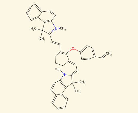 C=Cc1ccc(OC2=C(/C=C/C3=[N+](C)c4ccc5ccccc5c4C3(C)C)CCC/C2=C\C=C2/N(C)c3ccc4ccccc4c3C2(C)C)cc1